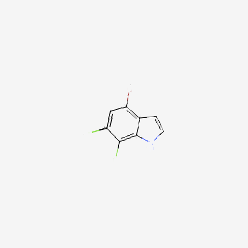 Fc1cc(Br)c2cc[nH]c2c1F